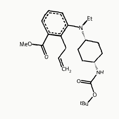 C=CCc1c(C(=O)OC)cccc1N(CC)[C@H]1CC[C@@H](NC(=O)OC(C)(C)C)CC1